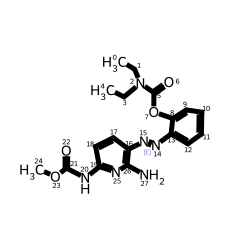 CCN(CC)C(=O)Oc1ccccc1/N=N/c1ccc(NC(=O)OC)nc1N